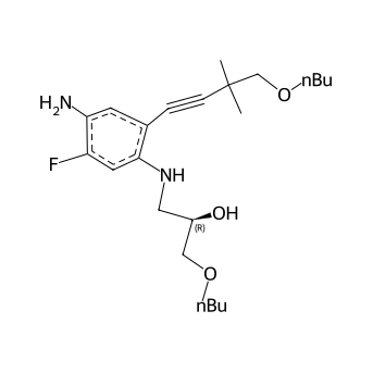 CCCCOC[C@H](O)CNc1cc(F)c(N)cc1C#CC(C)(C)COCCCC